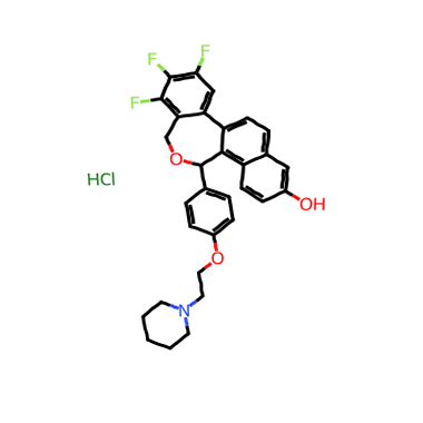 Cl.Oc1ccc2c3c(ccc2c1)-c1cc(F)c(F)c(F)c1COC3c1ccc(OCCN2CCCCC2)cc1